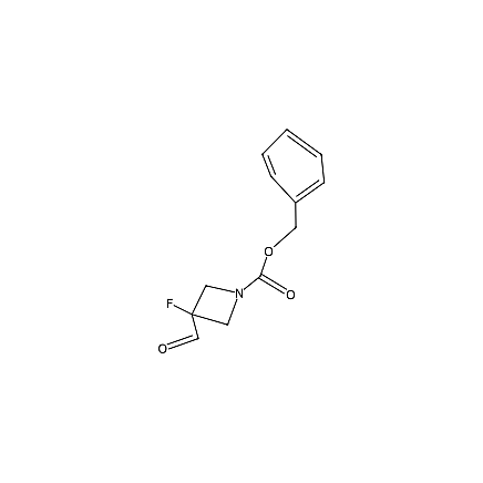 O=CC1(F)CN(C(=O)OCc2ccccc2)C1